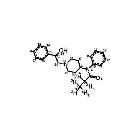 [2H]C([2H])([2H])C([2H])([2H])C(=O)N(c1ccccc1)C1CCN(CC(O)c2ccccc2)CC1